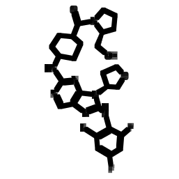 O=C(C1CCC(Nc2ncc3nc(Nc4c(F)cc(F)cc4F)n([C@H]4CCOC4)c3n2)CC1)N1CCC[C@H]1CO